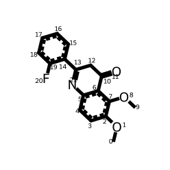 COc1ccc2c(c1OC)C(=O)CC(c1ccccc1F)=N2